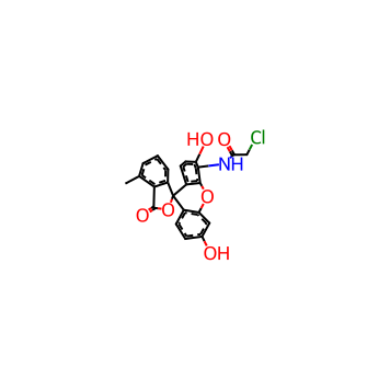 Cc1cccc2c1C(=O)OC21c2ccc(O)cc2Oc2c1ccc(O)c2NC(=O)CCl